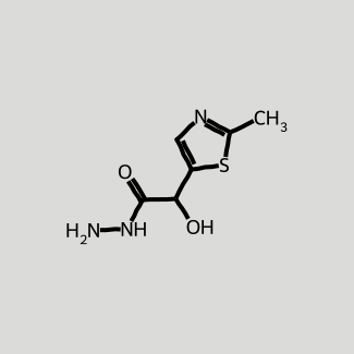 Cc1ncc(C(O)C(=O)NN)s1